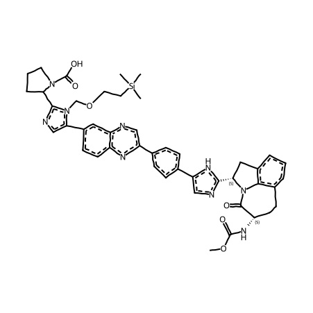 COC(=O)N[C@H]1CCc2cccc3c2N(C1=O)[C@H](c1ncc(-c2ccc(-c4cnc5cc(-c6cnc(C7CCCN7C(=O)O)n6COCC[Si](C)(C)C)ccc5n4)cc2)[nH]1)C3